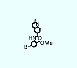 COCc1ccc(Br)cc1NC(=O)c1ccc2nc(C)ccc2c1